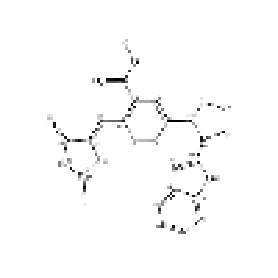 COC(=O)c1cc([C@H]2CCCN2c2nc3ccccc3o2)ccc1C=C1SC(=O)NC1=O